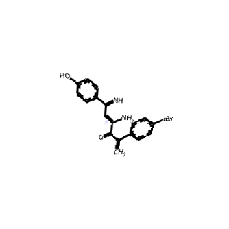 C=C(C(=O)/C(N)=C/C(=N)c1ccc(O)cc1)c1ccc(C(C)(C)C)cc1